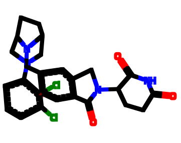 O=C1CCC(N2Cc3cc(CN4C5CCC4CN(c4cccc(Cl)c4Cl)C5)ccc3C2=O)C(=O)N1